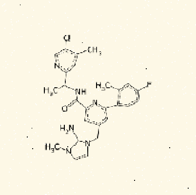 Cc1cc(C(C)NC(=O)c2cc(CN3C=CN(C)C3N)cc(-c3ccc(F)cc3C)n2)ncc1Cl